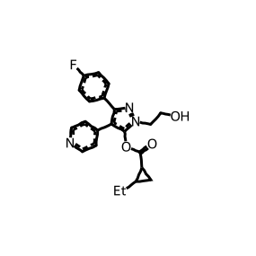 CCC1CC1C(=O)Oc1c(-c2ccncc2)c(-c2ccc(F)cc2)nn1CCO